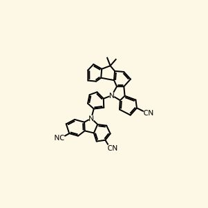 CC1(C)c2ccccc2-c2c1ccc1c3cc(C#N)ccc3n(-c3cccc(-n4c5ccc(C#N)cc5c5cc(C#N)ccc54)c3)c21